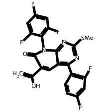 C=C(O)c1cc2c(-c3ccc(F)cc3F)nc(SC)nc2n(-c2c(F)cc(F)cc2F)c1=O